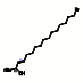 CCCC[C@H](O)/C=C/CCCCCCCCCCCCBr